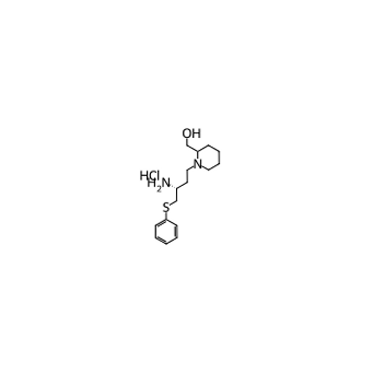 Cl.N[C@H](CCN1CCCCC1CO)CSc1ccccc1